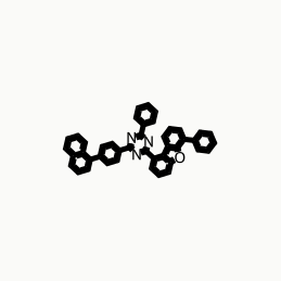 c1ccc(-c2nc(-c3ccc(-c4cccc5ccccc45)cc3)nc(-c3cccc4oc5c(-c6ccccc6)cccc5c34)n2)cc1